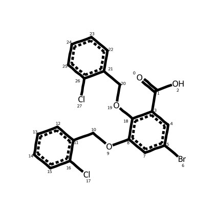 O=C(O)c1cc(Br)cc(OCc2ccccc2Cl)c1OCc1ccccc1Cl